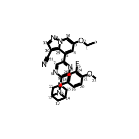 CCOc1cc(-c2cnc(N3CC4CC(C3)N4Cc3ccc(OC)c(F)c3)cn2)c2c(C#N)cnn2c1